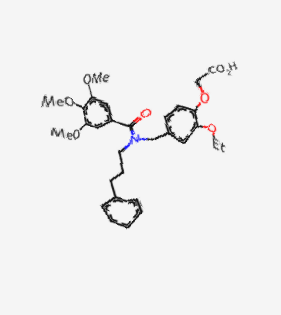 CCOc1cc(CN(CCCc2ccccc2)C(=O)c2cc(OC)c(OC)c(OC)c2)ccc1OCC(=O)O